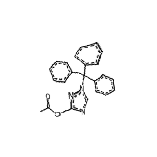 CC(=O)Oc1ncn(C(c2ccccc2)(c2ccccc2)c2ccccc2)n1